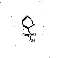 O=S(=O)(O)C1=CC=CC[C]1